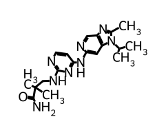 Cc1nc2cnc(Nc3ccnc(NCC(C)(C)C(N)=O)n3)cc2n1C(C)C